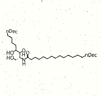 CCCCCCCCCCCCCCCCCCCCCCCC(=O)N[C@H](CO)[C@H](O)C(O)CCCCCCCCCCCCCC